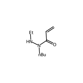 C=CC(=O)N(CCCC)NCC